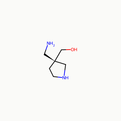 NC[C@]1(CO)CCNC1